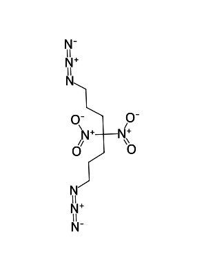 [N-]=[N+]=NCCCC(CCCN=[N+]=[N-])([N+](=O)[O-])[N+](=O)[O-]